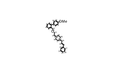 COc1ccc(-c2ccccc2COCCN2CCN(CC=Cc3ccccc3)CC2)cc1